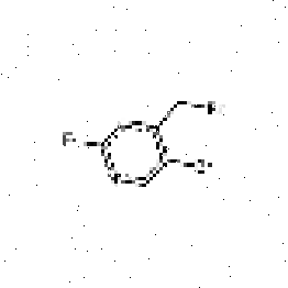 Fc1cc(CBr)c(Br)cn1